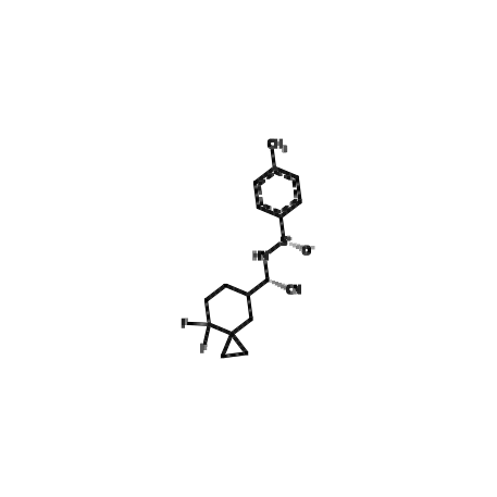 Cc1ccc([S@+]([O-])N[C@H](C#N)C2CCC(F)(F)C3(CC3)C2)cc1